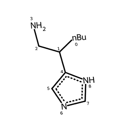 CCCCC(CN)c1cnc[nH]1